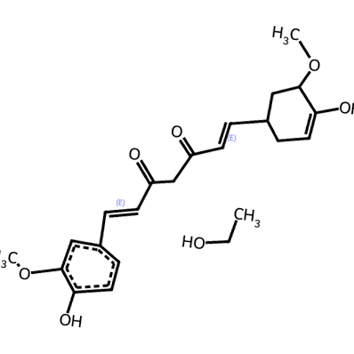 CCO.COc1cc(/C=C/C(=O)CC(=O)/C=C/C2CC=C(O)C(OC)C2)ccc1O